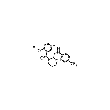 CCOc1ccc(C)cc1C(=O)N1CCCOC1CNc1ccc(C(F)(F)F)cn1